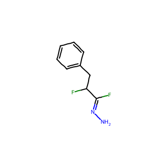 NN=C(F)C(F)Cc1ccccc1